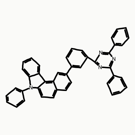 c1ccc(-c2nc(-c3ccccc3)nc(-c3cccc(-c4ccc5ccc6c(c5c4)c4ccccc4n6-c4ccccc4)c3)n2)cc1